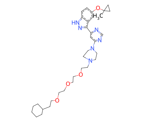 CC1(Oc2ccc3[nH]nc(-c4cc(N5CCN(CCOCCOCCOCCC6CCCCC6)CC5)ncn4)c3c2)CC1